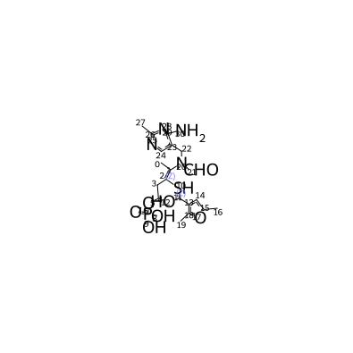 C/C(=C(CCOP(=O)(O)O)/[SH]=C(\O)c1cc(C)oc1C)N(C=O)Cc1cnc(C)nc1N